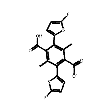 Cc1c(C(=O)O)c(-c2ccc(F)s2)c(C)c(C(=O)O)c1-c1ccc(F)s1